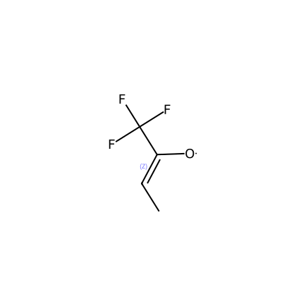 C/C=C(\[O])C(F)(F)F